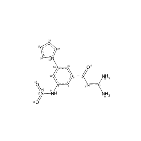 NC(N)=NC(=O)c1cc(N[SH](=O)=O)cc(-n2cccc2)c1